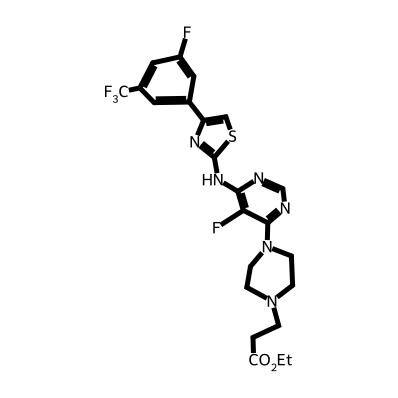 CCOC(=O)CCN1CCN(c2ncnc(Nc3nc(-c4cc(F)cc(C(F)(F)F)c4)cs3)c2F)CC1